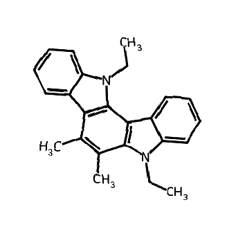 CCn1c2ccccc2c2c1c(C)c(C)c1c3ccccc3n(CC)c12